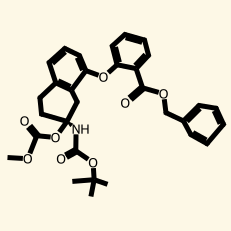 COC(=O)O[C@]1(NC(=O)OC(C)(C)C)CCc2cccc(Oc3ccccc3C(=O)OCc3ccccc3)c2C1